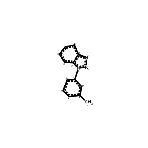 Cc1cc[c]c(-n2nnc3ccccc32)c1